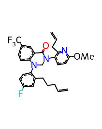 C=CCCCc1cc(F)ccc1N1CN(c2ccc(OC)nc2CC=C)C(=O)c2cc(C(F)(F)F)ccc21